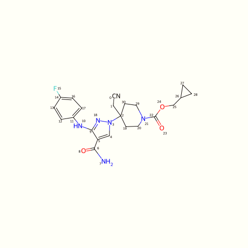 N#CCC1(n2cc(C(N)=O)c(Nc3ccc(F)cc3)n2)CCN(C(=O)OCC2CC2)CC1